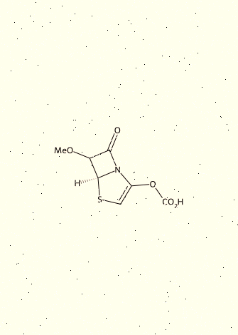 COC1C(=O)N2C(OC(=O)O)=CS[C@@H]12